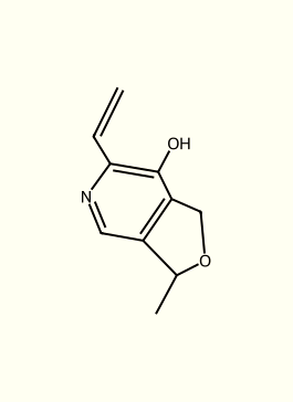 C=Cc1ncc2c(c1O)COC2C